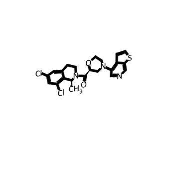 C[C@H]1c2c(Cl)cc(Cl)cc2CCN1C(=O)[C@@H]1CN(c2cncc3sccc23)CCO1